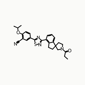 CCC(=O)N1CCC2(CCc3c(-c4nsc(-c5ccc(OC(C)C)c(C#N)c5)n4)cccc32)C1